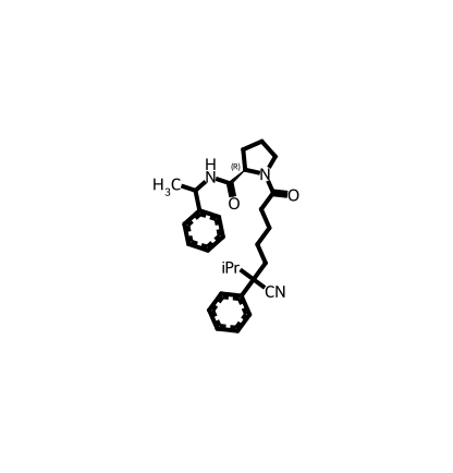 CC(NC(=O)[C@H]1CCCN1C(=O)CCCCC(C#N)(c1ccccc1)C(C)C)c1ccccc1